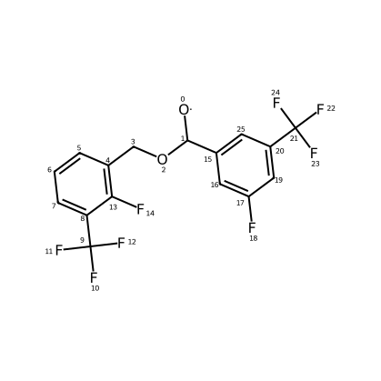 [O]C(OCc1cccc(C(F)(F)F)c1F)c1cc(F)cc(C(F)(F)F)c1